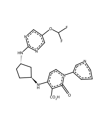 O=C(O)c1c(N[C@H]2CC[C@H](Nc3ncc(OC(F)F)cn3)C2)ccn(-c2cccnc2)c1=O